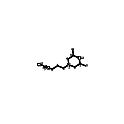 CC1CN(CC[CH2][Mg][Cl])CC(C)O1